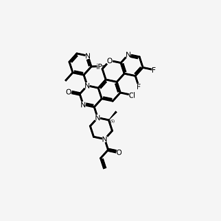 C=CC(=O)N1CCN(c2nc(=O)n(-c3c(C)ccnc3C(C)C)c3c4c(c(Cl)cc23)-c2c(ncc(F)c2F)OC4)[C@@H](C)C1